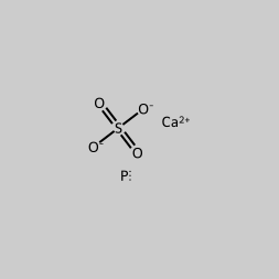 O=S(=O)([O-])[O-].[Ca+2].[P]